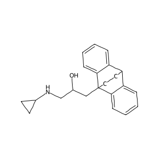 OC(CNC1CC1)CC12CCC(c3ccccc31)c1ccccc12